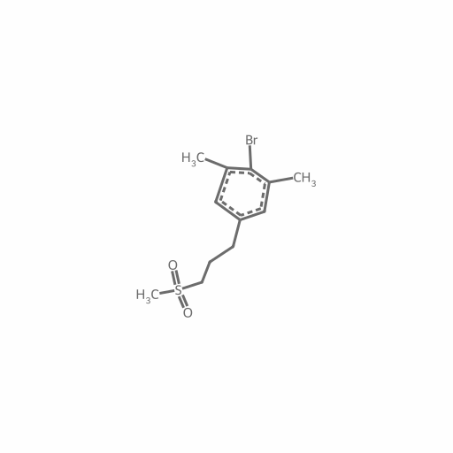 Cc1cc(CCCS(C)(=O)=O)cc(C)c1Br